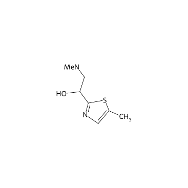 CNCC(O)c1ncc(C)s1